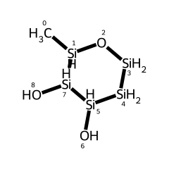 C[SiH]1O[SiH2][SiH2][SiH](O)[SiH]1O